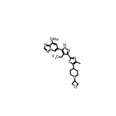 COc1cc(-c2[nH]nc(-c3nc(C)c(C4CCN(C5COC5)CC4)s3)c2CC(F)(F)F)cn2ncnc12